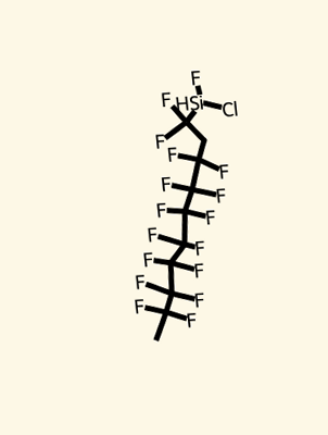 CC(F)(F)C(F)(F)C(F)(F)C(F)(F)C(F)(F)C(F)(F)C(F)(F)CC(F)(F)[SiH](F)Cl